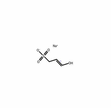 O=S(=O)([O-])C/C=C/O.[Na+]